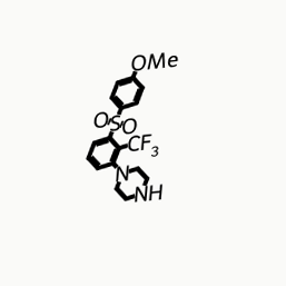 COc1ccc(S(=O)(=O)c2cccc(N3CCNCC3)c2C(F)(F)F)cc1